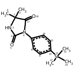 CC1(C)NC(=O)N(c2ccc([Si](C)(C)C)cc2)C1=O